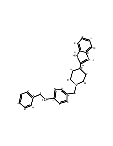 c1ccc(COc2ccc(CN3CCC(c4nc5ccccc5[nH]4)CC3)cc2)cc1